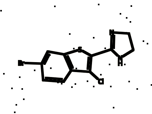 Clc1c(C2=NCCN2)sc2cc(Br)ccc12